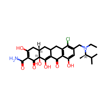 CCN(Cc1cc(O)c2c(c1Cl)CC1C[C@H]3CC(O)=C(C(N)=O)C(=O)[C@@]3(O)C(O)=C1C2=O)[C@H](C)C(C)C